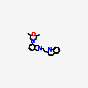 CC1CN(c2cccc3c2CN(CCc2ccc4ccccc4n2)C3)CC(C)O1